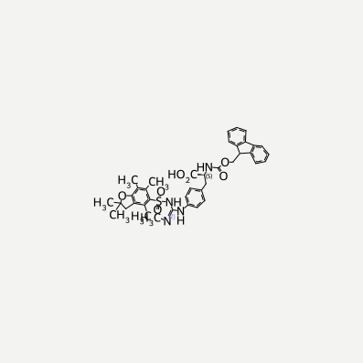 C/N=C(/Nc1ccc(C[C@H](NC(=O)OCC2c3ccccc3-c3ccccc32)C(=O)O)cc1)NS(=O)(=O)c1c(C)c(C)c2c(c1C)CC(C)(C)O2